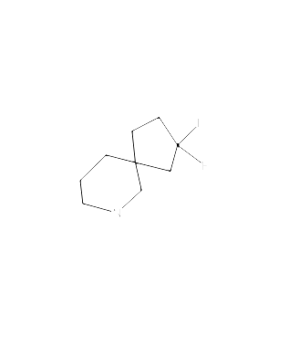 FC1(F)CCC2(CCCNC2)C1